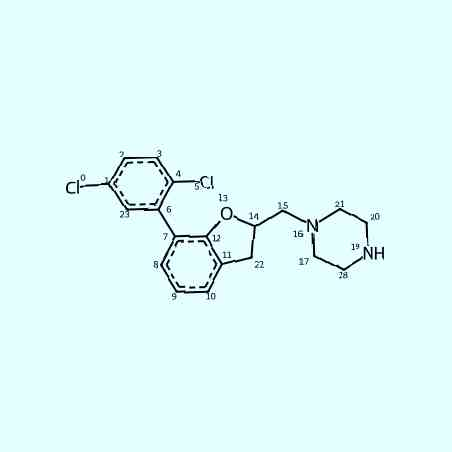 Clc1ccc(Cl)c(-c2cccc3c2OC(CN2CCNCC2)C3)c1